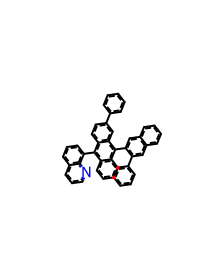 c1ccc(-c2ccc3c(-c4cccc5cccnc45)c4ccccc4c(-c4cc5ccccc5cc4-c4ccccc4)c3c2)cc1